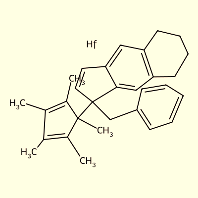 CC1=C(C)C(C)(C2(Cc3ccccc3)C=Cc3cc4c(cc32)CCCC4)C(C)=C1C.[Hf]